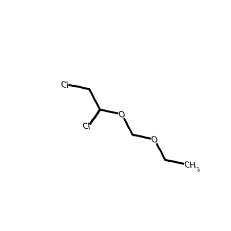 CCOCOC(Cl)CCl